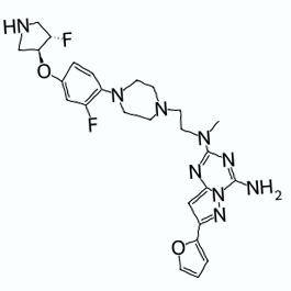 CN(CCN1CCN(c2ccc(O[C@H]3CNC[C@@H]3F)cc2F)CC1)c1nc(N)n2nc(-c3ccco3)cc2n1